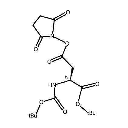 CC(C)(C)OC(=O)N[C@@H](CC(=O)ON1C(=O)CCC1=O)C(=O)OC(C)(C)C